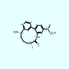 C[C@@H]1CCC[C@H](N)c2cc(ccn2)-c2ccc(N(C)C(=O)O)cc2NC1=O